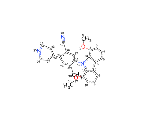 COc1cccc2c3cccc(OC)c3n(-c3cc(C#N)c(-c4ccncc4)cc3C)c12